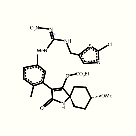 CCOC(=O)OC1=C(c2cc(C)ccc2C)C(=O)N[C@]12CC[C@@H](OC)CC2.CN/C(=N\[N+](=O)[O-])NCc1cnc(Cl)s1